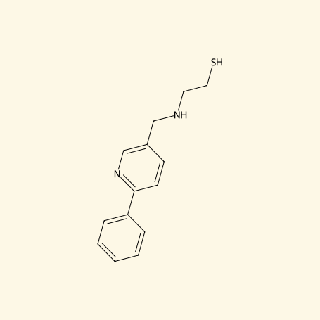 SCCNCc1ccc(-c2ccccc2)nc1